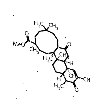 COC(=O)[C@@]1(C)CCC(C)(C)CCC2C(=O)C[C@@H]3[C@@]4(C)C=C(C#N)C(=O)[C@@H](C)[C@@H]4CC[C@@]3(C)[C@]2(C)CC1